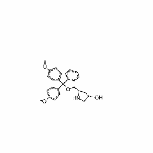 COc1ccc(C(OC[C@H]2C[C@H](O)CN2)(c2ccccc2)c2ccc(OC)cc2)cc1